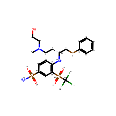 CN(CCO)CC[C@H](CSc1ccccc1)Nc1ccc(S(N)(=O)=O)cc1S(=O)(=O)C(F)(F)F